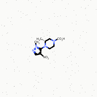 C[C@@H]1CN(C(=O)O)CCN1c1c([N+](=O)[O-])cnn1C